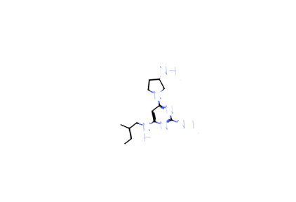 CCC(C)CNc1cc(N2CC[C@@H](N)C2)nc(N)n1